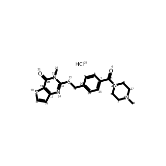 CN1CCN(C(=O)c2ccc(CSc3nc4ccsc4c(=O)n3C)cc2)CC1.Cl